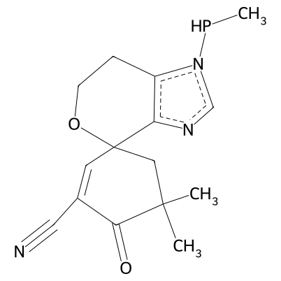 CPn1cnc2c1CCOC21C=C(C#N)C(=O)C(C)(C)C1